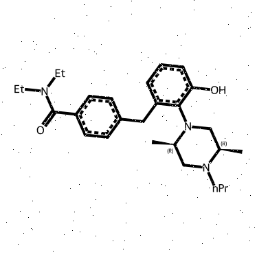 CCCN1C[C@@H](C)N(c2c(O)cccc2Cc2ccc(C(=O)N(CC)CC)cc2)C[C@H]1C